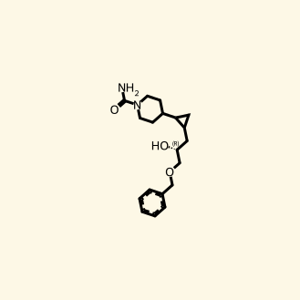 NC(=O)N1CCC(C2CC2C[C@@H](O)COCc2ccccc2)CC1